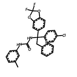 Cc1cccc(NC(=O)NC(Cc2ccccc2)(c2ccc3c(c2)OC(F)(F)O3)c2ccc(Cl)cn2)c1